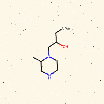 COCC(O)CN1CCNCC1C